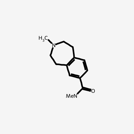 CNC(=O)c1ccc2c(c1)CCN(C)CC2